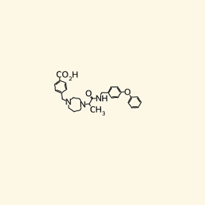 CC(C(=O)NCc1ccc(Oc2ccccc2)cc1)N1CCCN(Cc2ccc(C(=O)O)cc2)CC1